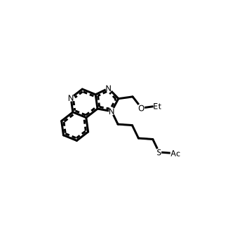 CCOCc1nc2cnc3ccccc3c2n1CCCCSC(C)=O